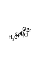 CN(C)Cc1ccc(C(=O)CBr)c(Cl)c1